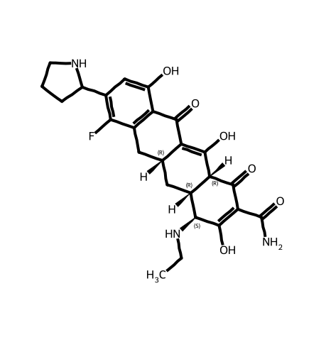 CCN[C@@H]1C(O)=C(C(N)=O)C(=O)[C@H]2C(O)=C3C(=O)c4c(O)cc(C5CCCN5)c(F)c4C[C@H]3C[C@H]21